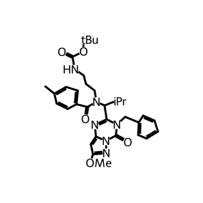 COc1cc2nc(C(C(C)C)N(CCCNC(=O)OC(C)(C)C)C(=O)c3ccc(C)cc3)n(Cc3ccccc3)c(=O)n2n1